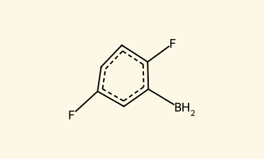 Bc1cc(F)ccc1F